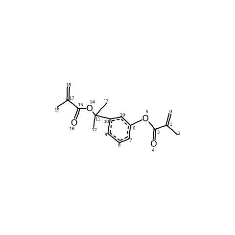 C=C(C)C(=O)Oc1cccc(C(C)(C)OC(=O)C(=C)C)c1